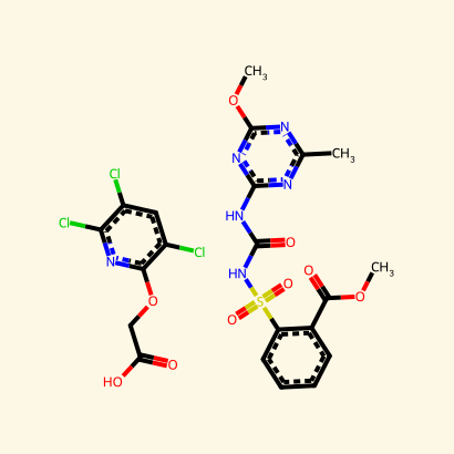 COC(=O)c1ccccc1S(=O)(=O)NC(=O)Nc1nc(C)nc(OC)n1.O=C(O)COc1nc(Cl)c(Cl)cc1Cl